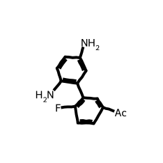 CC(=O)c1ccc(F)c(-c2cc(N)ccc2N)c1